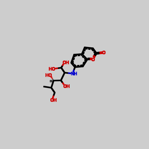 CC(CO)[C@H](O)C(O)C(Nc1ccc2ccc(=O)oc2c1)C(O)O